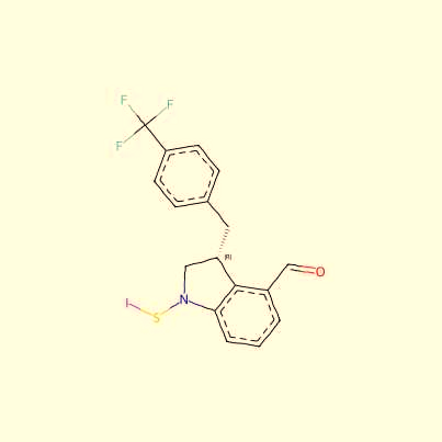 O=Cc1cccc2c1[C@@H](Cc1ccc(C(F)(F)F)cc1)CN2SI